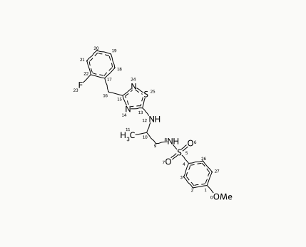 COc1ccc(S(=O)(=O)NCC(C)Nc2nc(Cc3ccccc3F)ns2)cc1